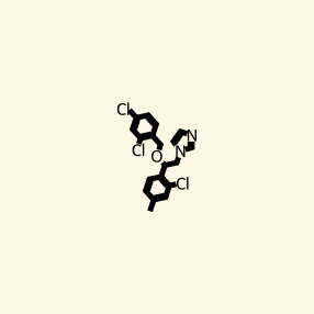 Cc1ccc(C(Cn2ccnc2)OCc2ccc(Cl)cc2Cl)c(Cl)c1